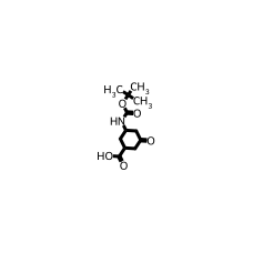 CC(C)(C)OC(=O)NC1CC(=O)CC(C(=O)O)C1